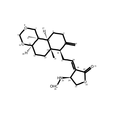 C=C1CC[C@@H]2[C@]3(C)COCO[C@@H]3CC[C@@]2(C)[C@@H]1C/C=C1/C(=O)OC[C@H]1NC=O